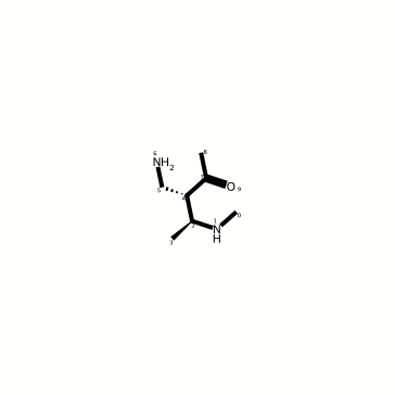 CN[C@@H](C)[C@H](CN)C(C)=O